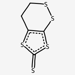 S=c1sc2c(s1)SSCC2